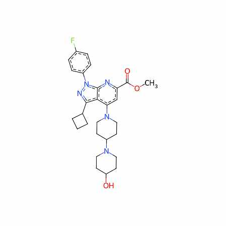 COC(=O)c1cc(N2CCC(N3CCC(O)CC3)CC2)c2c(C3CCC3)nn(-c3ccc(F)cc3)c2n1